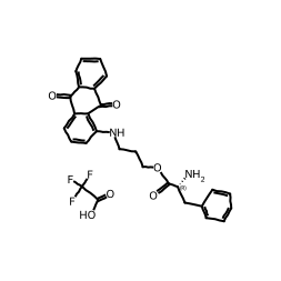 N[C@H](Cc1ccccc1)C(=O)OCCCNc1cccc2c1C(=O)c1ccccc1C2=O.O=C(O)C(F)(F)F